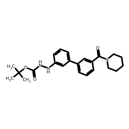 CC(C)(C)OC(=O)NNc1cccc(-c2cccc(C(=O)N3CCCCC3)c2)c1